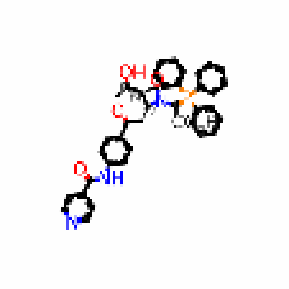 C[C@@H](O)[C@H]1C(=O)N(C(C(=O)O)=P(c2ccccc2)(c2ccccc2)c2ccccc2)[C@@H]1CC(=O)c1ccc(NC(=O)c2ccncc2)cc1